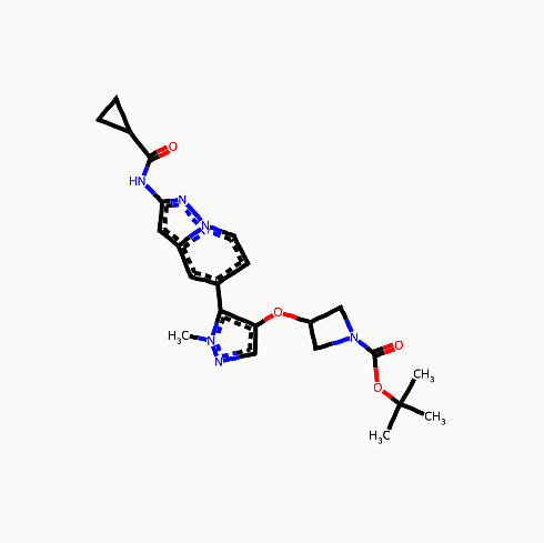 Cn1ncc(OC2CN(C(=O)OC(C)(C)C)C2)c1-c1ccn2nc(NC(=O)C3CC3)cc2c1